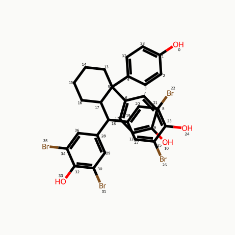 Oc1ccc(C2(c3ccc(O)cc3)CCCCC2C(c2cc(Br)c(O)c(Br)c2)c2cc(Br)c(O)c(Br)c2)cc1